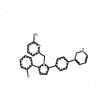 Nc1cccc(Cn2c(-c3ccc(C4=CC=CNC4)cc3)ccc2-c2ccccc2Cl)n1